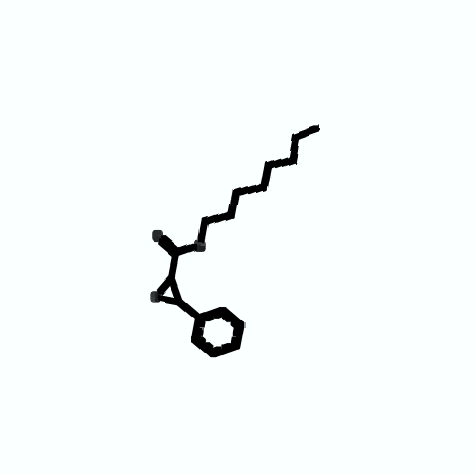 CCCCCCCCOC(=O)C1OC1c1ccccc1